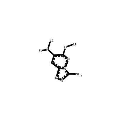 CCOc1nn2c(N)nnc2cc1N(CC)CC